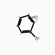 Cl.[Zn][c]1ccccc1